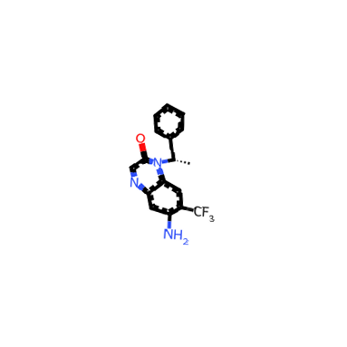 C[C@@H](c1ccccc1)n1c(=O)cnc2cc(N)c(C(F)(F)F)cc21